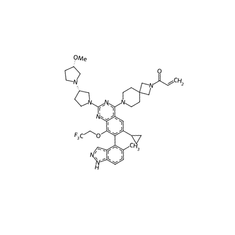 C=CC(=O)N1CC2(CCN(c3nc(N4CC[C@H](N5CC[C@H](OC)C5)C4)nc4c(OCC(F)(F)F)c(-c5c(C)ccc6[nH]ncc56)c(C5CC5)cc34)CC2)C1